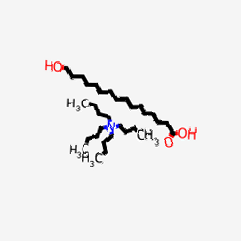 CCCC[N+](CCCC)(CCCC)CCCC.O=C(O)CCCCCCCCCCCCCCCO